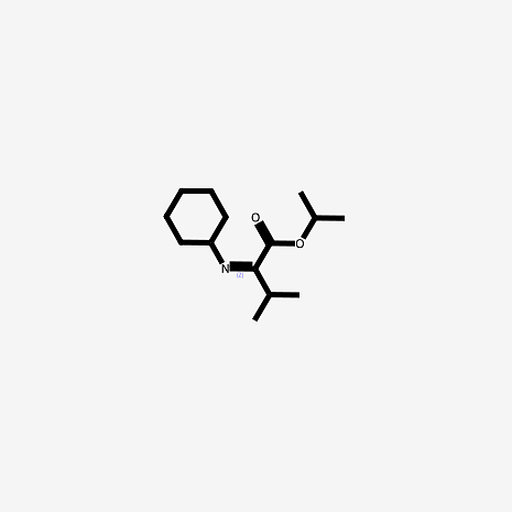 CC(C)OC(=O)/C(=N\C1CCCCC1)C(C)C